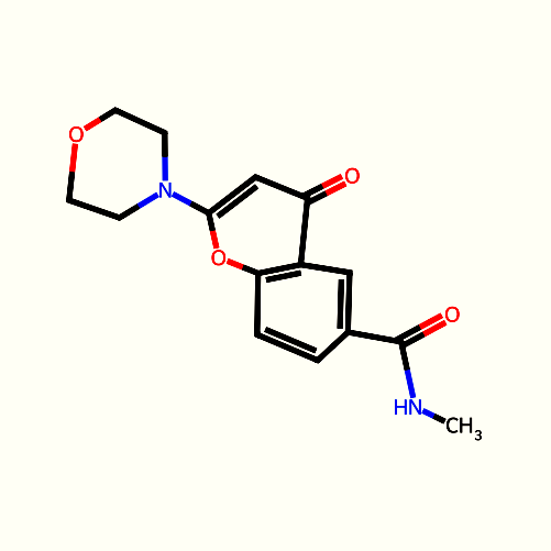 CNC(=O)c1ccc2oc(N3CCOCC3)cc(=O)c2c1